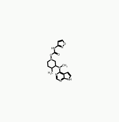 CC1CCN(OC(=O)Nc2ccon2)CC1N(C)c1ncnc2[nH]ccc12